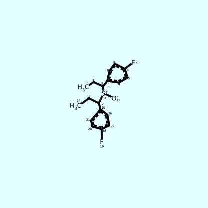 CCC(c1ccc(F)cc1)[S+]([O-])C(CC)c1ccc(F)cc1